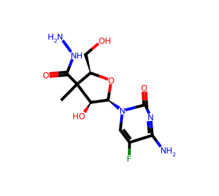 CC1(C(=O)NN)[C@H](O)[C@H](n2cc(F)c(N)nc2=O)O[C@@H]1CO